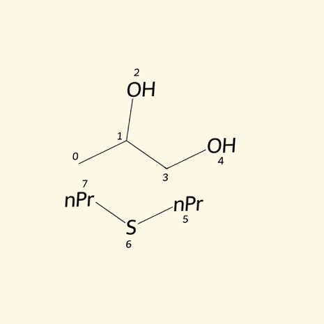 CC(O)CO.CCCSCCC